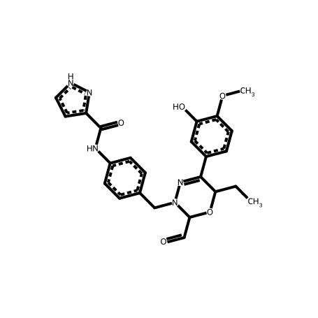 CCC1OC(C=O)N(Cc2ccc(NC(=O)c3cc[nH]n3)cc2)N=C1c1ccc(OC)c(O)c1